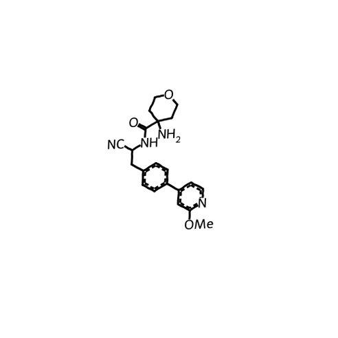 COc1cc(-c2ccc(CC(C#N)NC(=O)C3(N)CCOCC3)cc2)ccn1